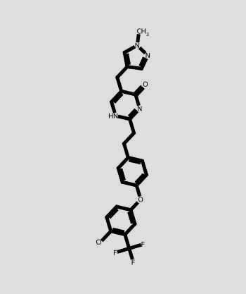 Cn1cc(Cc2c[nH]c(CCc3ccc(Oc4ccc(Cl)c(C(F)(F)F)c4)cc3)nc2=O)cn1